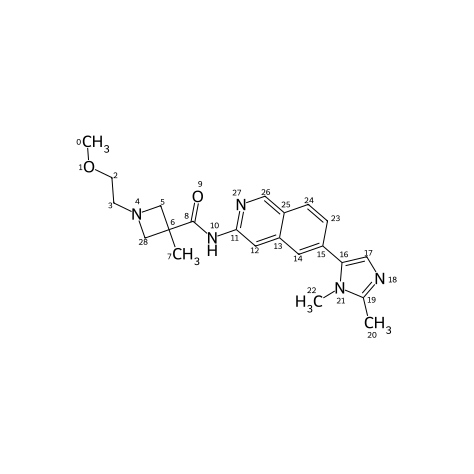 COCCN1CC(C)(C(=O)Nc2cc3cc(-c4cnc(C)n4C)ccc3cn2)C1